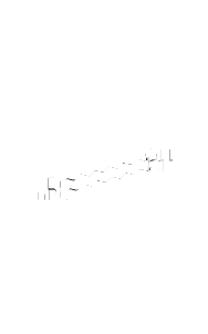 CCC=CCCCCCCCCCCO.CCCCC=CCCCCCCCCCCO